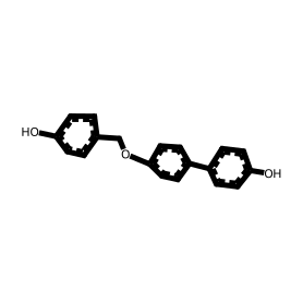 Oc1ccc(COc2ccc(-c3ccc(O)cc3)cc2)cc1